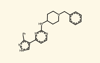 CC(C)c1n[nH]cc1-c1ccnc(NC2CCN(Cc3ccccc3)CC2)n1